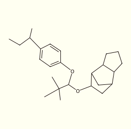 CCC(C)c1ccc(OC(OC2CC3CC2C2CCCC32)C(C)(C)C)cc1